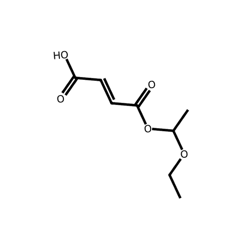 CCOC(C)OC(=O)C=CC(=O)O